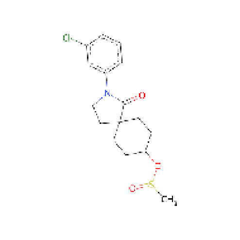 CS(=O)OC1CCC2(CC1)CCN(c1cccc(Cl)c1)C2=O